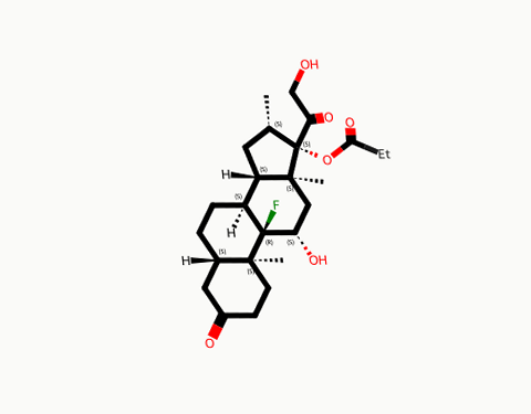 CCC(=O)O[C@@]1(C(=O)CO)[C@@H](C)C[C@H]2[C@@H]3CC[C@H]4CC(=O)CC[C@]4(C)[C@@]3(F)[C@@H](O)C[C@@]21C